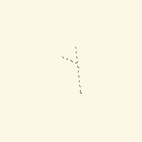 C#CCOCCOCCOCC(COCCOCCOCC#C)OCC(=O)NCCOCCOCCOCCOCCC(=O)OC(C)(C)C